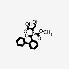 COC(=O)N(C(=O)c1ccccc1-c1ccccc1)C(CO)C(=O)O